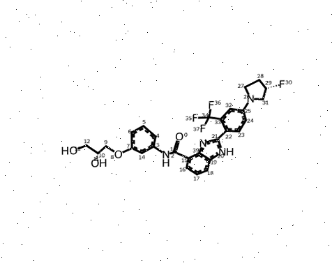 O=C(Nc1cccc(OC[C@H](O)CO)c1)c1cccc2[nH]c(-c3ccc(N4CC[C@H](F)C4)cc3C(F)(F)F)nc12